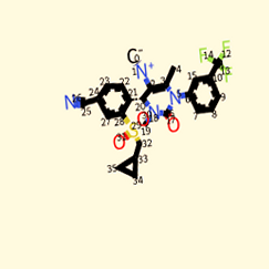 [C-]#[N+]C1=C(C)N(c2cccc(C(F)(F)F)c2)C(=O)N(C)[C@@H]1c1ccc(C#N)cc1S(=O)(=O)CC1CC1